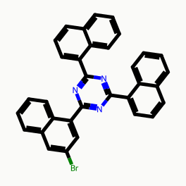 Brc1cc(-c2nc(-c3cccc4ccccc34)nc(-c3cccc4ccccc34)n2)c2ccccc2c1